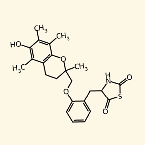 Cc1c(C)c2c(c(C)c1O)CCC(C)(COc1ccccc1CC1NC(=O)SC1=O)O2